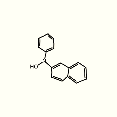 ON(c1ccccc1)c1ccc2ccccc2c1